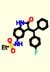 CCS(=O)(=O)Nc1ccc2c(c1)C(=C(c1ccccc1)c1ccc(F)cc1)C(=O)N2